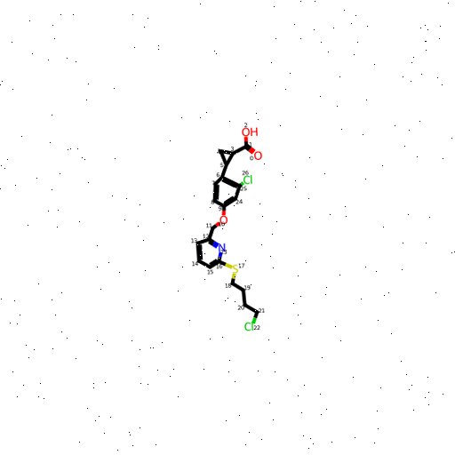 O=C(O)C1CC1c1ccc(OCc2cccc(SCCCCCl)n2)cc1Cl